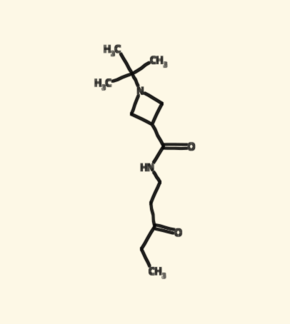 CCC(=O)CCNC(=O)C1CN(C(C)(C)C)C1